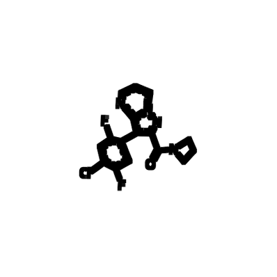 O=C(c1nn2cccnc2c1-c1cc(F)c(Cl)cc1F)N1CCC1